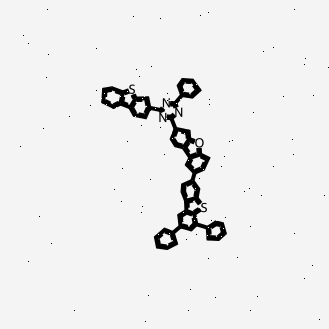 c1ccc(-c2cc(-c3ccccc3)c3sc4cc(-c5ccc6oc7cc(-c8nc(-c9ccccc9)nc(-c9ccc%10c(c9)sc9ccccc9%10)n8)ccc7c6c5)ccc4c3c2)cc1